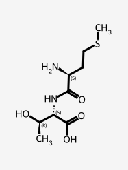 CSCC[C@H](N)C(=O)N[C@H](C(=O)O)[C@@H](C)O